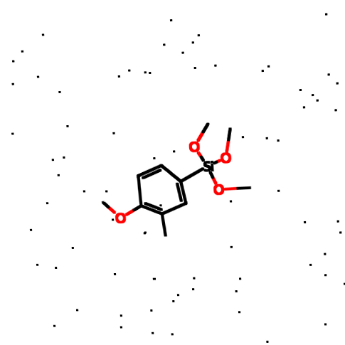 COc1ccc([Si](OC)(OC)OC)cc1C